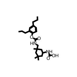 CCCc1ccc(OC(=O)NCC2(C)CC(NC(=O)O)CC(C)(C)C2)c(CCC)c1